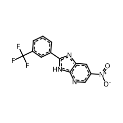 O=[N+]([O-])c1cnc2[nH]c(-c3cccc(C(F)(F)F)c3)nc2c1